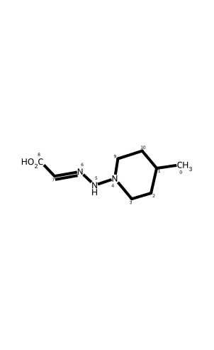 CC1CCN(NN=CC(=O)O)CC1